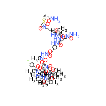 CC[C@H](C)[C@H](NC(=O)[C@@H](NC(=O)[C@H](C(C)C)N(C)C)C(C)C)[C@@H](CC(=O)N1C[C@@H](OC(=O)N(C)CCNC(=O)OCc2ccc(NC(=O)[C@H](CCCNC(N)=O)NC(=O)[C@@H](NC(=O)CCCCCN3C(=O)CC(SCC4(CC(N)=O)CC4)C3=O)C(C)C)cc2)C[C@H]1[C@H](OC)[C@@H](C)C(=O)N[C@@H](C)C(=O)c1ccc(F)cc1)OC